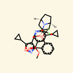 COC(=O)c1cnc(N2[C@@H]3CC[C@H]2C[C@H](OCc2c(-c4ccccc4OC(F)(F)F)noc2C2CC2)C3)c(C2CC2)c1